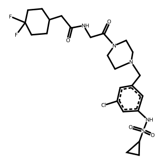 O=C(CC1CCC(F)(F)CC1)NCC(=O)N1CCN(Cc2cc(Cl)cc(NS(=O)(=O)C3CC3)c2)CC1